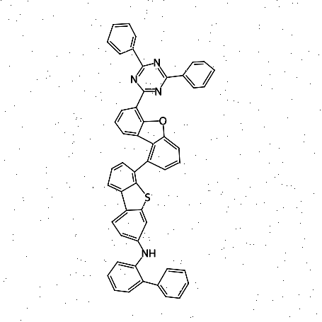 c1ccc(-c2nc(-c3ccccc3)nc(-c3cccc4c3oc3cccc(-c5cccc6c5sc5cc(Nc7ccccc7-c7ccccc7)ccc56)c34)n2)cc1